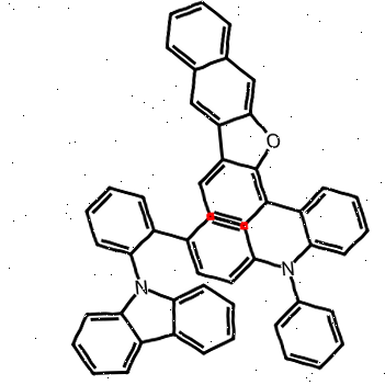 c1ccc(N(c2ccc(-c3ccccc3-n3c4ccccc4c4ccccc43)cc2)c2ccccc2-c2cccc3c2oc2cc4ccccc4cc23)cc1